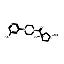 CC(C)[C@]1(C(=O)N2CCN(c3cncc(C(F)(F)F)c3)CC2)CC[C@@H](N)C1